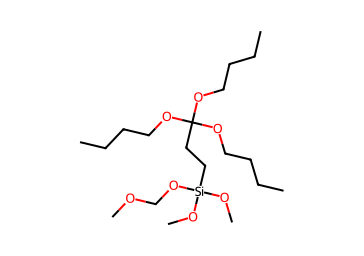 CCCCOC(CC[Si](OC)(OC)OCOC)(OCCCC)OCCCC